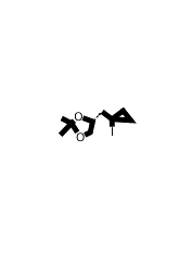 CC1(C)OC[C@@H](CC2(I)CC2)O1